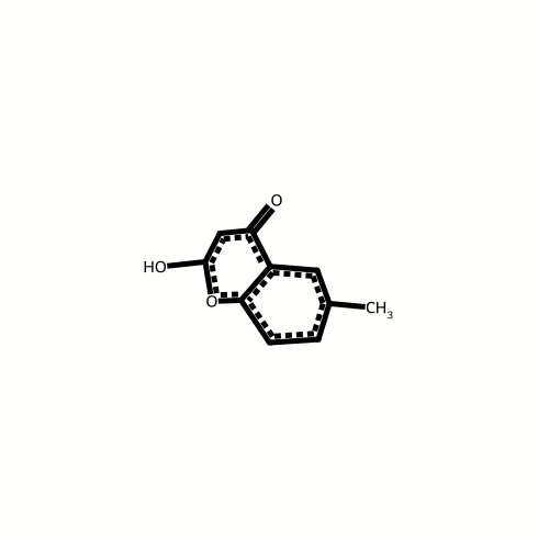 Cc1ccc2oc(O)cc(=O)c2c1